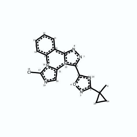 CC1(c2noc(-c3nnc4c5ccccc5n5c(Cl)ncc5n34)n2)CC1